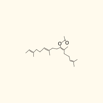 C/C=C(\C)CC/C=C(\C)CC/C(OC(C)=O)=C(/C)CCC=C(C)C